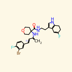 C=C(/C=C/c1ccc(F)c(Br)c1)NC1(C(=O)NCCc2c[nH]c3c2C=C(F)CC3)CCOCC1